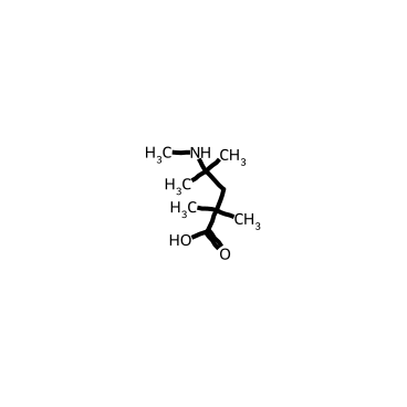 CNC(C)(C)CC(C)(C)C(=O)O